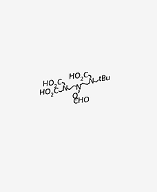 CC(C)(C)CN(CCN(CCN(CC(=O)O)CC(=O)O)COC=O)CC(=O)O